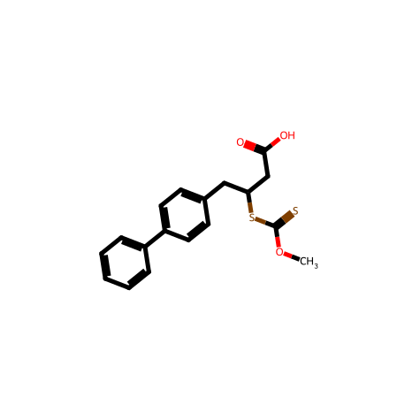 COC(=S)SC(CC(=O)O)Cc1ccc(-c2ccccc2)cc1